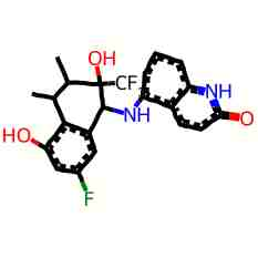 CC1c2c(O)cc(F)cc2C(Nc2cccc3[nH]c(=O)ccc23)C(O)(C(F)(F)F)C1C